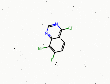 Fc1ccc2c(Cl)ncnc2c1Br